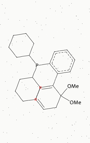 COC1(OC)CC=CC=C1c1ccccc1P(C1CCCCC1)C1CCCCC1